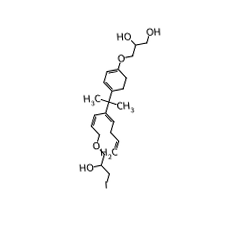 C=CC/C=C(\C=C/COCC(O)CI)C(C)(C)C1=CC=C(OCC(O)CO)CC1